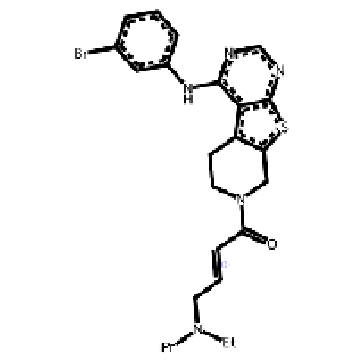 CCN(C/C=C/C(=O)N1CCc2c(sc3ncnc(Nc4cccc(Br)c4)c23)C1)C(C)C